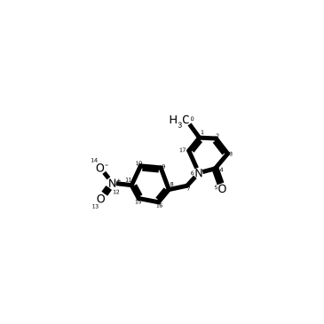 Cc1ccc(=O)n(Cc2ccc([N+](=O)[O-])cc2)c1